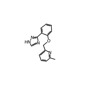 Cc1cccc(COc2ccccc2-c2nc[nH]n2)n1